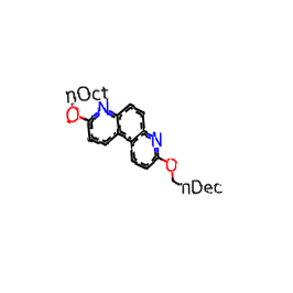 CCCCCCCCCCCOc1ccc2c(ccc3nc(OCCCCCCCC)ccc32)n1